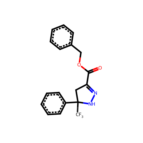 O=C(OCc1ccccc1)C1=NNC(c2ccccc2)(C(F)(F)F)C1